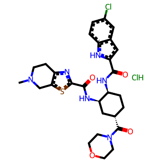 CN1CCc2nc(C(=O)N[C@@H]3C[C@@H](C(=O)N4CCOCC4)CC[C@@H]3NC(=O)c3cc4cc(Cl)ccc4[nH]3)sc2C1.Cl